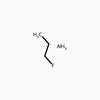 C[CH]CF.[AlH3]